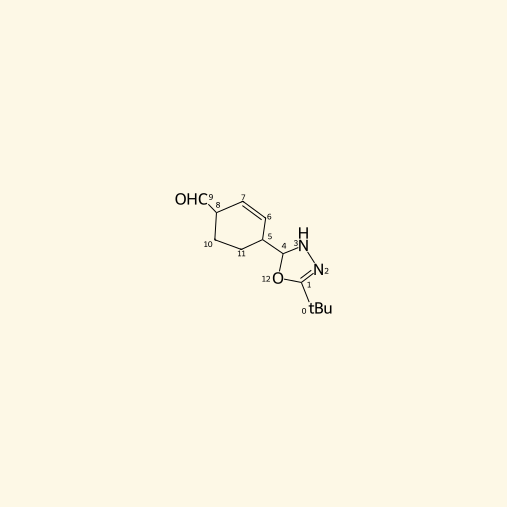 CC(C)(C)C1=NNC(C2C=CC(C=O)CC2)O1